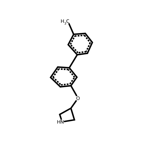 Cc1cccc(-c2cccc(OC3CNC3)c2)c1